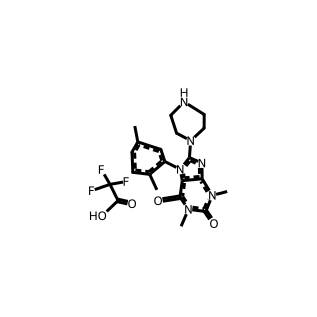 Cc1ccc(C)c(-n2c(N3CCNCC3)nc3c2c(=O)n(C)c(=O)n3C)c1.O=C(O)C(F)(F)F